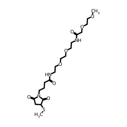 COCCOCC(=O)NCCOCCOCCNC(=O)CCCN1C(=O)CC(SC)C1=O